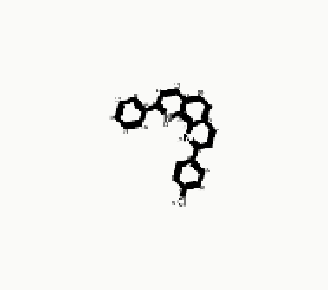 Clc1ccc(-c2ccc3ccc4ccc(-c5ccccc5)nc4c3n2)cc1